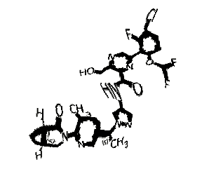 Cc1cc([C@H](C)n2cc(NC(=O)c3nc(-c4c(OC(F)F)ccc(Cl)c4F)cnc3CO)cn2)cnc1N1C[C@H]2C[C@H]2C1=O